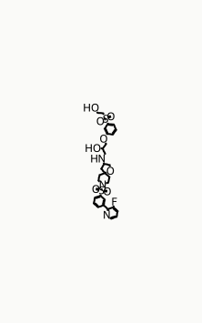 O=S(=O)(CCO)c1cccc(OCC(O)CNC2COC3(CCN(S(=O)(=O)c4cccc(-c5ncccc5F)c4)CC3)C2)c1